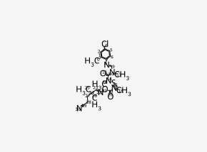 Cc1cc(Cl)ccc1N=CN(C)C(=O)N(C)SN(C)C(=O)ON=CC(C)(C)CCC#N